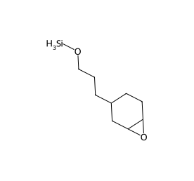 [SiH3]OCCCC1CCC2OC2C1